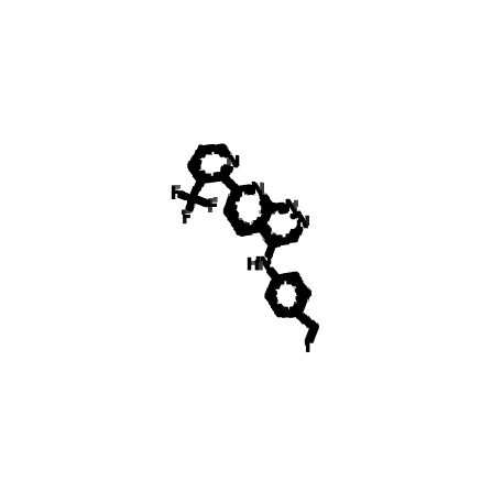 FC(F)(F)c1cccnc1-c1ccc2c(Nc3ccc(CI)cc3)cnnc2n1